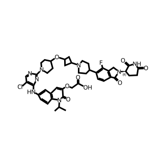 CC(C)n1c(=O)c(OCC(=O)O)cc2cc(Nc3nc(N4CCC(OC5CC(N6CCC(c7ccc8c(c7F)CN([C@@H]7CCC(=O)NC7=O)C8=O)CC6)C5)CC4)ncc3Cl)ccc21